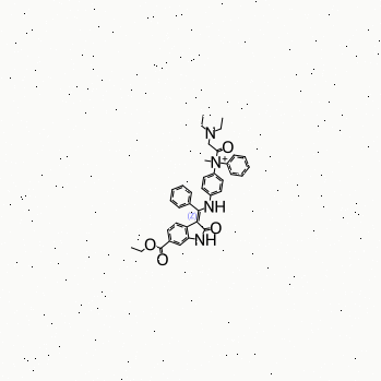 CCOC(=O)c1ccc2c(c1)NC(=O)/C2=C(\Nc1ccc([N+](C)(C(=O)CN(CC)CC)c2ccccc2)cc1)c1ccccc1